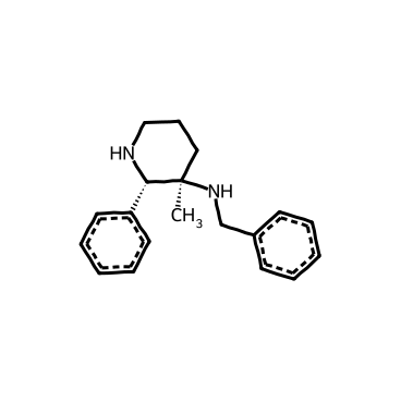 C[C@@]1(NCc2ccccc2)CCCN[C@H]1c1ccccc1